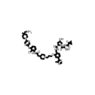 Cc1ncsc1-c1ccc(CNC(=O)[C@@H]2C[C@@H](O)CN2C(=O)[C@@H](NC(=O)C2(F)CC2)C(C)(C)C)c(OCCCN2CCC(CC(=O)Nc3cccc(Sc4cnc(N5CCC(C)(CN)CC5)cn4)c3Cl)CC2)c1